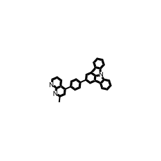 Cc1cc(-c2ccc(-c3cc4c5ccccc5n5c6ccccc6c(c3)c45)cc2)c2cccnc2n1